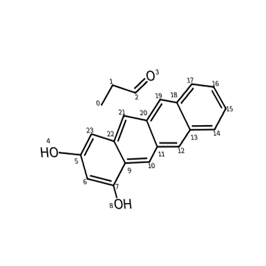 CCC=O.Oc1cc(O)c2cc3cc4ccccc4cc3cc2c1